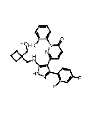 Cc1ccccc1-n1nc(-c2c(-c3ccc(F)cc3F)n[nH]c2NCC2(CO)CCC2)ccc1=O